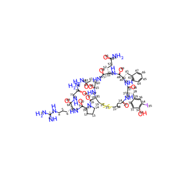 N=C(N)NCCC[C@@H](NC(=O)[C@@H]1CCCN1C(=O)[C@@H]1CSSCCC(=O)N[C@@H](Cc2ccc(O)c(I)c2)C(=O)N[C@@H](Cc2ccccc2)C(=O)N[C@@H](CCC(N)=O)C(=O)N[C@@H](CC(N)=O)C(=O)N1)C(=O)NCC(N)=O